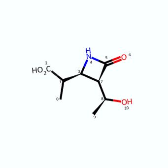 CC(C(=O)O)[C@H]1NC(=O)[C@H]1[C@H](C)O